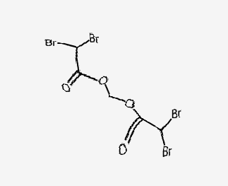 O=C(OCOC(=O)C(Br)Br)C(Br)Br